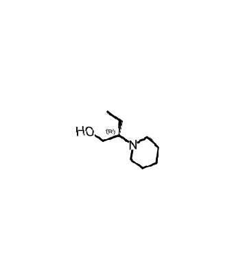 CC[C@H](CO)N1CCCCC1